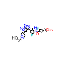 Cc1c(NC(=O)c2ccc(C(C)(C)O)cc2F)cc(F)cc1-c1ncnc2[nH]c(C3=CCN(C(=O)O)CC3)cc12